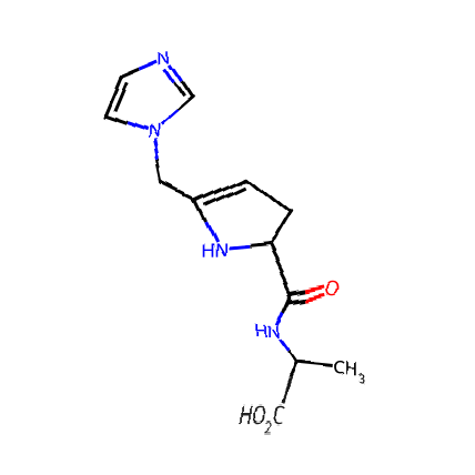 CC(NC(=O)C1CC=C(Cn2ccnc2)N1)C(=O)O